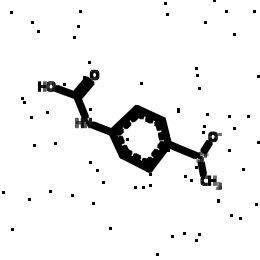 C[S+]([O-])c1ccc(NC(=O)O)cc1